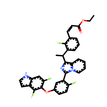 CCOC(=O)/C=C\c1cccc(C(C)c2nc(-c3cc(Oc4c(F)cc5[nH]ccc5c4F)ccc3F)n3ccccc23)c1F